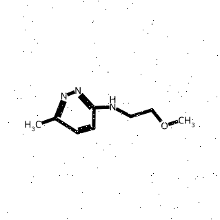 COCCNc1ccc(C)nn1